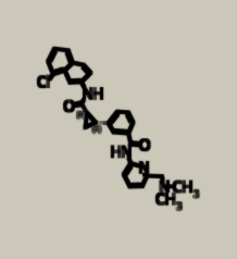 CN(C)Cc1cccc(NC(=O)c2cccc([C@@H]3C[C@H]3C(=O)Nc3ccc4cccc(Cl)c4c3)c2)n1